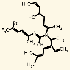 C=C/C(=C\C=C(C)C)C(C)N(/C(C)=C/CC(O)/C=C\C)/C(C)=N/C(C)=C/C=C(\CC)C(F)(F)F